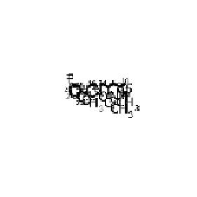 CC(C)(C)NC(=O)C(Cc1cscn1)CN1CCC2(CC1)OCc1ccc(F)cc12